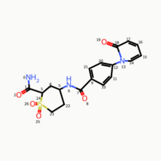 NC(=O)C1[CH]C(NC(=O)c2ccc(-n3ccccc3=O)cc2)CCS1(=O)=O